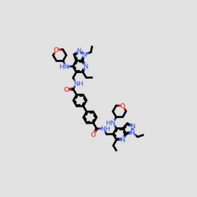 CCc1nc2c(cnn2CC)c(NC2CCOCC2)c1CNC(=O)c1ccc(-c2ccc(C(=O)NCc3c(CC)nc4c(cnn4CC)c3NC3CCOCC3)cc2)cc1